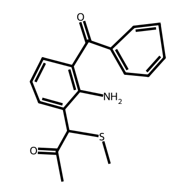 CSC(C(C)=O)c1cccc(C(=O)c2ccccc2)c1N